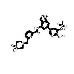 COc1ncc(-c2cc(NC(=O)c3cccc(CN4CCS(=O)(=O)CC4)n3)c3cn[nH]c3c2)cc1NS(C)(=O)=O